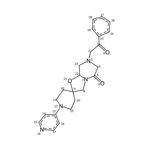 O=C(CN1CC(=O)N2CC3(CCN(c4ccncc4)CC3)OC2C1)c1ccccc1